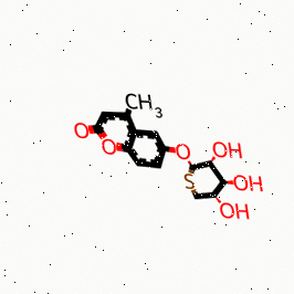 Cc1cc(=O)oc2ccc(O[C@H]3SC[C@@H](O)[C@H](O)[C@H]3O)cc12